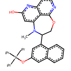 CC(C)[Si](Oc1cc(C2COc3nccc4nc(O)cc(c34)N2C)c2ccccc2c1)(C(C)C)C(C)C